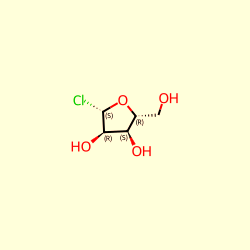 OC[C@H]1O[C@@H](Cl)[C@H](O)[C@@H]1O